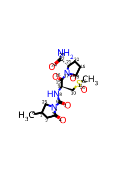 CC1CC(=O)N(C(=O)N[C@H](CS(C)(=O)=O)C(=O)N2CCC[C@H]2C(N)=O)C1